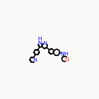 c1ccc(-c2ccc(-c3c[nH]c4ncc(-c5ccc6c(c5)CC[C@@H](N[C@H]5CCCOC5)CC6)cc34)cc2)nc1